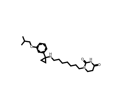 CC(C)COc1cccc(C2(NCCCCCCCN3CCC(=O)NC3=O)CC2)c1